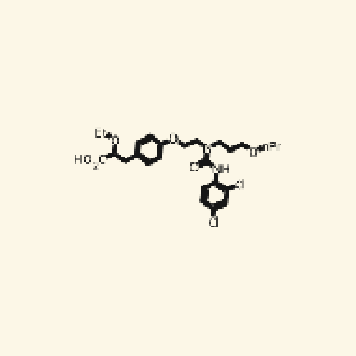 CCCOCCCN(CCOc1ccc(CC(OCC)C(=O)O)cc1)C(=O)Nc1ccc(Cl)cc1Cl